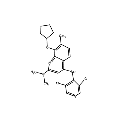 COc1ccc2c(Nc3c(Cl)cncc3Cl)cc(N(C)C)nc2c1OC1CCCC1